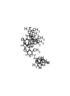 Cc1c(CCB2O[C@@H]3C[C@@H]4C[C@@H](C4(C)C)[C@]3(C)O2)ccc(OC2CN(C(=O)[C@@H](CC(=O)OC(C)(C)C)NC(=O)OC(C)(C)C)C2)c1C(=O)OC(C)(C)C